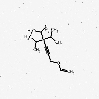 C=COCC#C[Si](C(C)C)(C(C)C)C(C)C